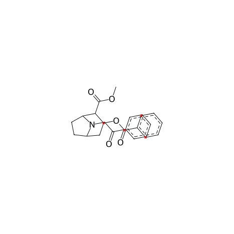 COC(=O)C1C(OC(=O)c2ccccc2)CC2CCC1N2CC(=O)c1ccccc1